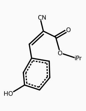 CC(C)OC(=O)C(C#N)=Cc1cccc(O)c1